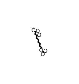 COC(=O)CC(=O)CCC/C=C/COC(=O)OC